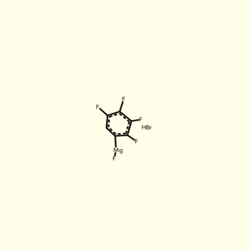 Br.[F][Mg][c]1cc(F)c(F)c(F)c1F